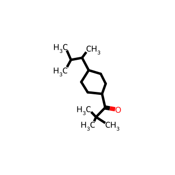 CC(C)C(C)C1CCC(C(=O)C(C)(C)C)CC1